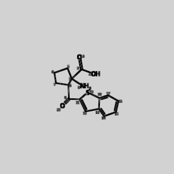 NC1(C(=O)O)CCCC1C(=O)c1cc2ccccc2s1